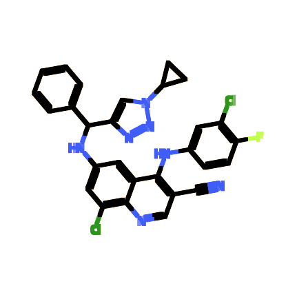 N#Cc1cnc2c(Cl)cc(NC(c3ccccc3)c3cn(C4CC4)nn3)cc2c1Nc1ccc(F)c(Cl)c1